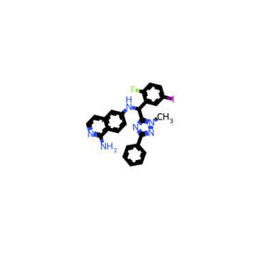 Cn1nc(-c2ccccc2)nc1C(Nc1ccc2c(N)nccc2c1)c1cc(I)ccc1F